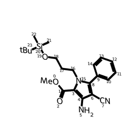 COC(=O)c1c(N)c(C#N)c(-c2ccccc2)n1CCCO[Si](C)(C)C(C)(C)C